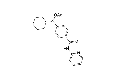 CC(=O)ON(c1ccc(C(=O)Nc2ccccn2)cc1)C1CCCCC1